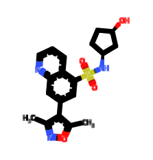 Cc1noc(C)c1-c1cc(S(=O)(=O)N[C@H]2CC[C@@H](O)C2)c2cccnc2c1